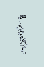 C=C(CO)C(=O)OCCOC1CCC(c2ccc(C3OCC(C4CCC(CCCCC)CC4)CO3)cc2)CC1